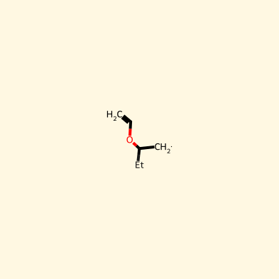 [CH2]C(CC)OC=C